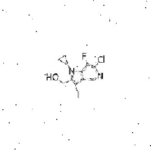 OCc1c(I)c2cnc(Cl)c(F)c2n1C1CC1